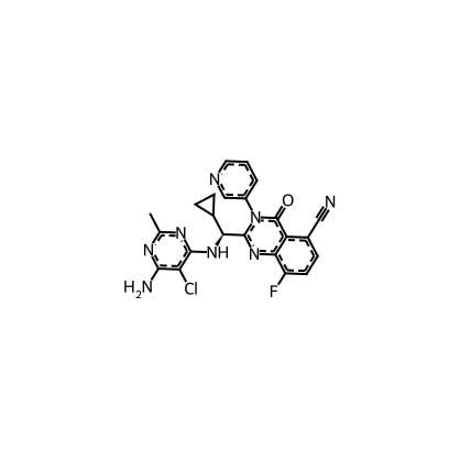 Cc1nc(N)c(Cl)c(N[C@H](c2nc3c(F)ccc(C#N)c3c(=O)n2-c2cccnc2)C2CC2)n1